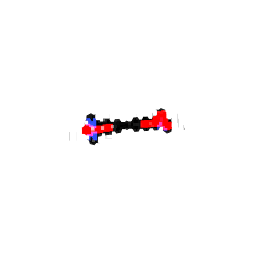 CC12CCCCC1(C)N(c1ccccc1)c1ccc(-c3ccc(-c4ccc5c6cc7c(cc6c6ccc(-c8ccc(-c9ccc%10c(c9)C9(C)CCCCC9(C)N%10c9ccccc9)cc8)c4c56)c4ccc(-c5ccc(-c6ccc8c(c6)C6(C)CCCCC6(C)N8c6ccccc6)cc5)c5c(-c6ccc(-c8ccc9c(c8)C8(C)CCCCC8(C)N9c8ccccc8)cc6)ccc7c54)cc3)cc12